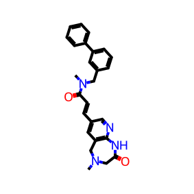 CN1CC(=O)Nc2ncc(C=CC(=O)N(C)Cc3cccc(-c4ccccc4)c3)cc2C1